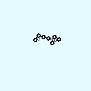 C1=Cc2c(oc3c(-c4ccc(-c5ccc(N(c6ccccc6)c6cccc7c6oc6ccccc67)cc5)cc4)cccc23)CC1